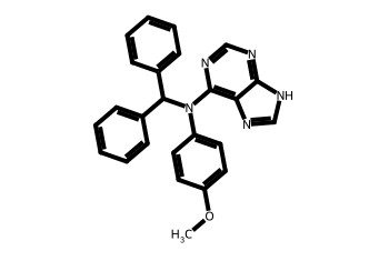 COc1ccc(N(c2ncnc3[nH]cnc23)C(c2ccccc2)c2ccccc2)cc1